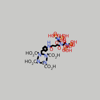 O=C(O)CN1CCN(CC(=O)O)CCN(CC(=O)O)C(Cc2ccc(NC(=O)CCCC(=O)N(CC(=O)N(CP(=O)(O)O)CP(=O)(O)O)CC(=O)N(CP(=O)(O)O)CP(=O)(O)O)cc2)CN(CC(=O)O)CC1